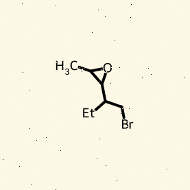 CCC(CBr)C1OC1C